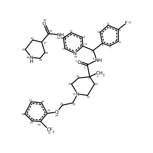 CC1(C(=O)NC(c2ccc(F)cc2)c2ccccn2)CCN(CCOc2ccccc2C(F)(F)F)CC1.NC(=O)C1CCNCC1